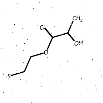 CC(O)C(Cl)OCC[S]